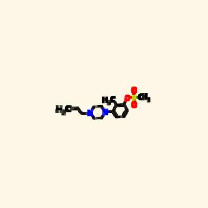 C=CCN1CCN(c2cccc(OS(C)(=O)=O)c2C)CC1